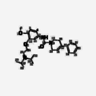 COc1ccc(NC(=O)N2CC=C(c3ccccc3)CC2)cc1OCCN(C(C)C)C(C)C